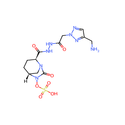 NCc1cnn(CC(=O)NNC(=O)[C@@H]2CC[C@@H]3CN2C(=O)N3OS(=O)(=O)O)n1